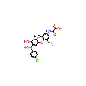 Cc1cc(NC(=O)C(=O)O)cc(C)c1Oc1ccc(O)c(C(O)c2ccc(Cl)cc2)c1